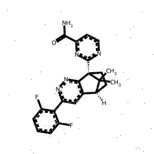 CC1(C)[C@H]2CC[C@]1(c1nccc(C(N)=O)n1)c1nnc(-c3c(F)cccc3F)cc12